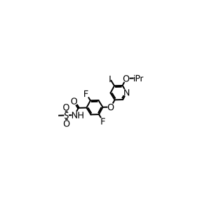 CC(C)Oc1ncc(Oc2cc(F)c(C(=O)NS(C)(=O)=O)cc2F)cc1I